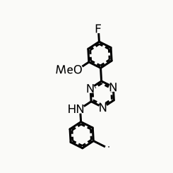 [CH2]c1cccc(Nc2ncnc(-c3ccc(F)cc3OC)n2)c1